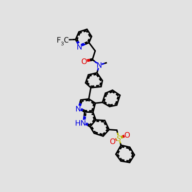 CN(C(=O)Cc1cccc(C(F)(F)F)n1)c1ccc(-c2cnc3[nH]c4ccc(CS(=O)(=O)c5ccccc5)cc4c3c2-c2ccccc2)cc1